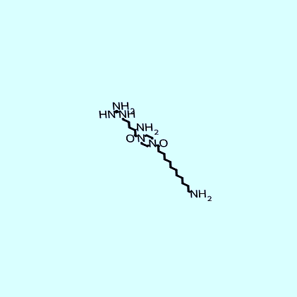 N=C(N)NCCC[C@H](N)C(=O)N1CCN(C(=O)CCCCCCCCCCCN)CC1